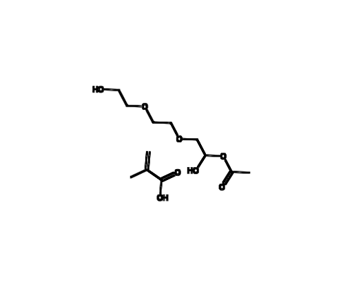 C=C(C)C(=O)O.CC(=O)OC(O)COCCOCCO